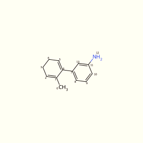 CC1=CCCC=C1c1cccc(N)c1